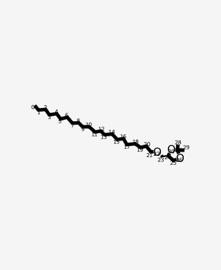 CCCCCCCCCCCCCCCCCCCCCCOC[C@@H]1COC(C)(C)O1